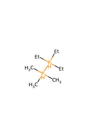 CC[PH](CC)(CC)[PH](C)(C)C